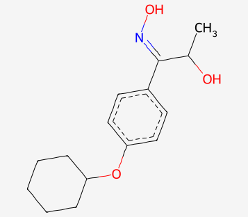 CC(O)C(=NO)c1ccc(OC2CCCCC2)cc1